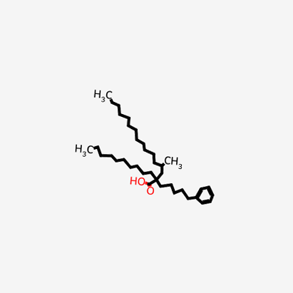 CCCCCCCCCCCCC(C)CC(CCCCCCCCCC)(CCCCCc1ccccc1)C(=O)O